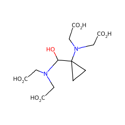 O=C(O)CN(CC(=O)O)C(O)C1(N(CC(=O)O)CC(=O)O)CC1